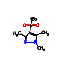 Cc1nn(C)c(C)c1S(=O)(=O)C(C)(C)C